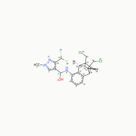 Cn1cc(C(O)Nc2cccc3c2[C@H]2CCC3[C@@H](CCl)C2CCl)c(C(F)F)n1